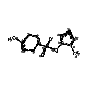 Cc1ccc(S(=O)(=O)On2ccnc2C)cc1